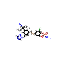 CC(C)(C#N)c1cc(CSc2ccc(OS(N)(=O)=O)c(Cl)c2)cc(Cn2cncn2)c1